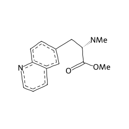 CN[C@@H](Cc1ccc2ncccc2c1)C(=O)OC